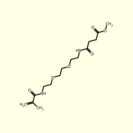 C=C(C)C(=O)NCCOCCOCCNC(=O)CCC(=O)OC